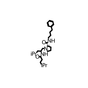 CC(C)CCC(=O)NC(CC(C)C)CN1CCC[C@H]1C(=O)NCCCCc1ccccc1